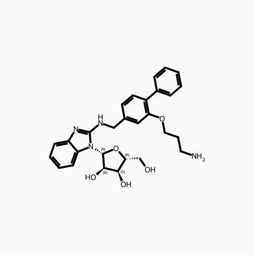 NCCCOc1cc(CNc2nc3ccccc3n2[C@@H]2O[C@H](CO)[C@@H](O)[C@H]2O)ccc1-c1ccccc1